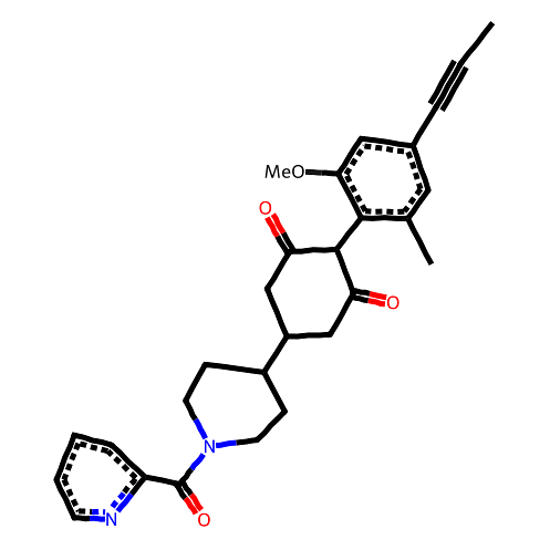 CC#Cc1cc(C)c(C2C(=O)CC(C3CCN(C(=O)c4ccccn4)CC3)CC2=O)c(OC)c1